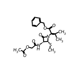 CS[C@H]1[C@@H](NC(=O)COC(C)=O)C(=O)N1C(C(=O)OCc1ccccc1)=C(C)C